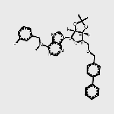 CN(Cc1cccc(F)c1)c1ncnc2c1ncn2[C@@H]1O[C@H](COCc2ccc(-c3ccccc3)cc2)[C@H]2OC(C)(C)O[C@H]21